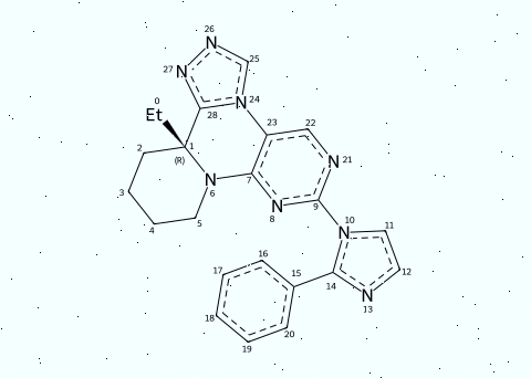 CC[C@]12CCCCN1c1nc(-n3ccnc3-c3ccccc3)ncc1-n1cnnc12